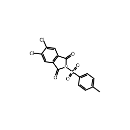 Cc1ccc(S(=O)(=O)N2C(=O)c3cc(Cl)c(Cl)cc3C2=O)cc1